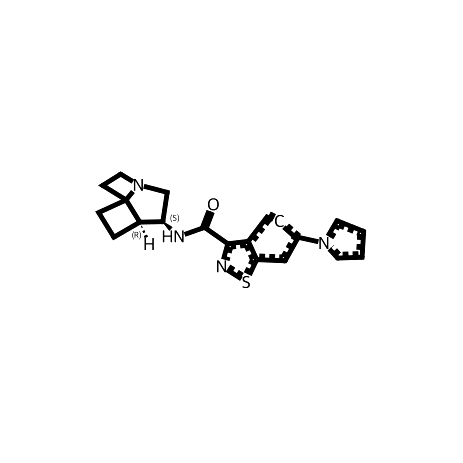 O=C(N[C@@H]1CN2CCC23CC[C@H]13)c1nsc2cc(-n3cccc3)ccc12